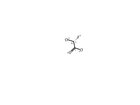 O=C(Cl)[C@@H](F)Cl